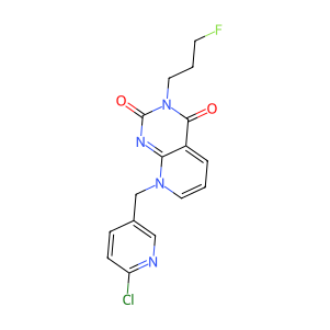 O=c1nc2n(Cc3ccc(Cl)nc3)cccc-2c(=O)n1CCCF